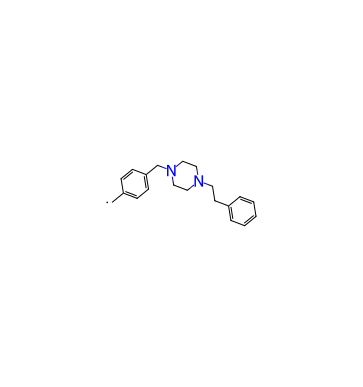 [CH2]c1ccc(CN2CCN(CCc3ccccc3)CC2)cc1